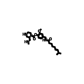 CNCC1CNCCN1C(=O)Oc1ccc(CNC(=O)CCCCC=CC(C)C)cc1OC